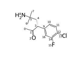 CC(=O)[C@H](CC(C)(C)N)c1ccc(Cl)c(F)c1